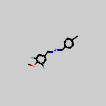 COc1c(F)cc(C=NN=Cc2ccc(C)cc2)cc1F